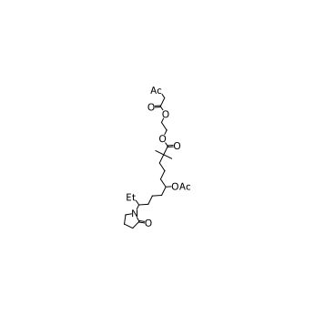 CCC(CCCC(CCCC(C)(C)C(=O)OCCOC(=O)CC(C)=O)OC(C)=O)N1CCCC1=O